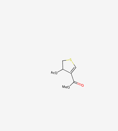 COC(=O)C1=CSCC1OC(C)=O